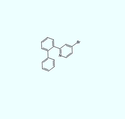 Brc1ccnc(-c2ccccc2-c2ccccc2)c1